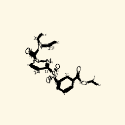 CCOC(=O)c1cccc(S(=O)(=O)c2ccn(C(=O)N(CC)CC)n2)c1